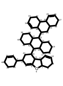 C1=CC(C2C=C3OC4CCC=CC4C3C(C3C4CCCCC4C(C4CC5CCC=CC5C5CCC=CC54)C4CCCCC43)C2)CCC1